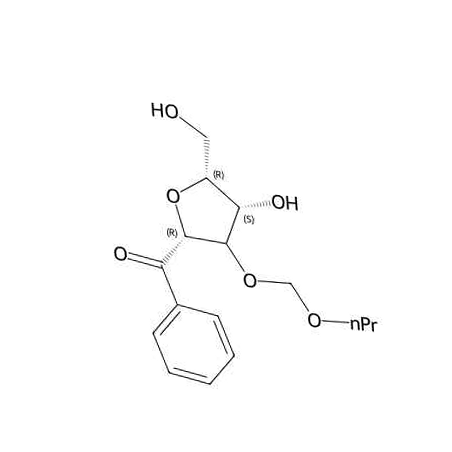 CCCOCOC1[C@@H](O)[C@@H](CO)O[C@H]1C(=O)c1ccccc1